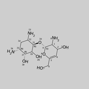 NC1C(O)C=C(CO)O[C@@H]1O[C@@H]1C(N)C[C@@H](N)[C@@H](O)C1O